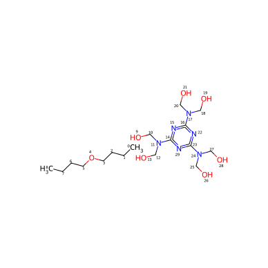 CCCCOCCCC.OCN(CO)c1nc(N(CO)CO)nc(N(CO)CO)n1